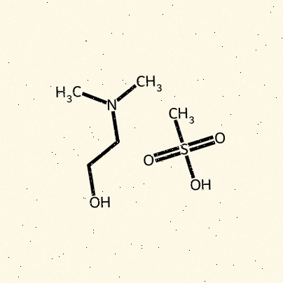 CN(C)CCO.CS(=O)(=O)O